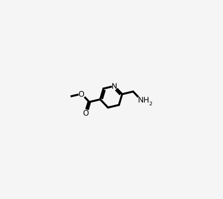 COC(=O)C1=CN=C(CN)CC1